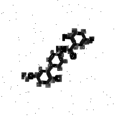 O=C(Nc1ccc(-c2cc(C(F)(F)F)ccc2Cl)cc1)c1cc(F)ccc1F